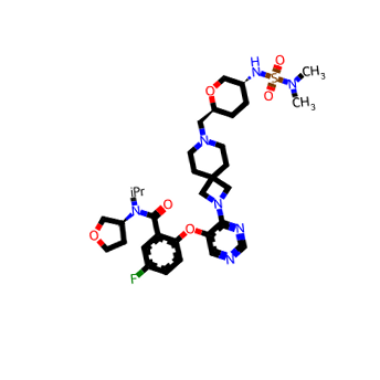 CC(C)N(C(=O)c1cc(F)ccc1Oc1cncnc1N1CC2(CCN(C[C@@H]3CC[C@@H](NS(=O)(=O)N(C)C)CO3)CC2)C1)[C@H]1CCOC1